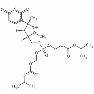 CO[C@](F)(COP(=O)(OCOC(=O)OC(C)C)OCOC(=O)OC(C)C)[C@@H](F)[C@@](C)(O)n1ccc(=O)[nH]c1=O